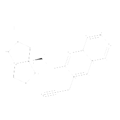 N#CCC1=CC2C=NC=CC2N=C1OC[C@@]12CCCN1C[C@H](F)C2